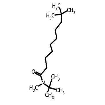 CN(C(=O)CCCCCCCC(C)(C)C)C(C)(C)C